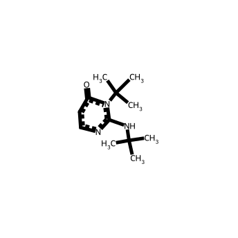 CC(C)(C)Nc1nccc(=O)n1C(C)(C)C